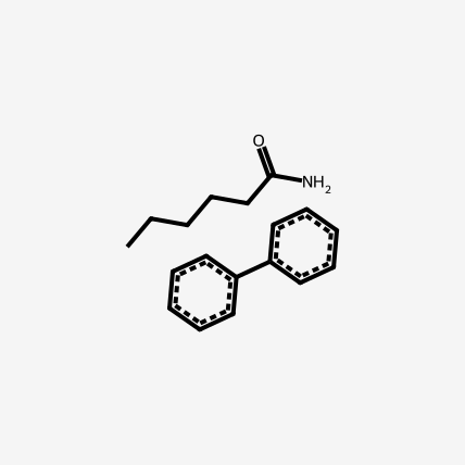 CCCCCC(N)=O.c1ccc(-c2ccccc2)cc1